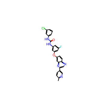 Cc1ccc(-c2cnc3ccc(Oc4cc(F)cc(NC(=O)Nc5cccc(Cl)c5)c4)cc3n2)cn1